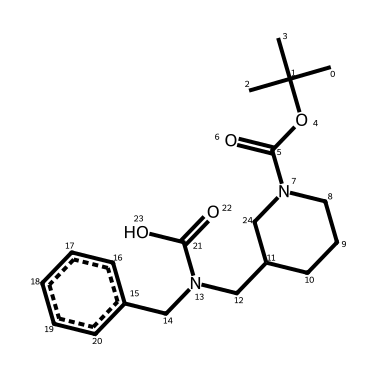 CC(C)(C)OC(=O)N1CCCC(CN(Cc2ccccc2)C(=O)O)C1